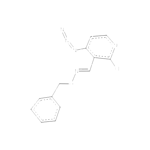 [N-]=[N+]=Nc1ccnc(Cl)c1C=NOCc1ccccc1